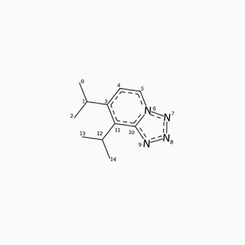 CC(C)c1ccn2nnnc2c1C(C)C